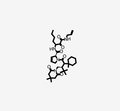 C=CCNC(=O)C(=O)C(CCCC)NC(=O)[C@@H]1C=CCN1C(=O)C([C@H](CN1C(=O)CC(C)(C)CC1=O)C(C)(C)C)C1(C)CCCCC1